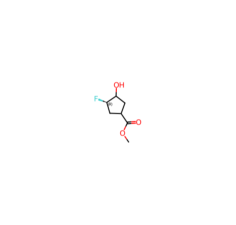 COC(=O)C1CC(O)[C@H](F)C1